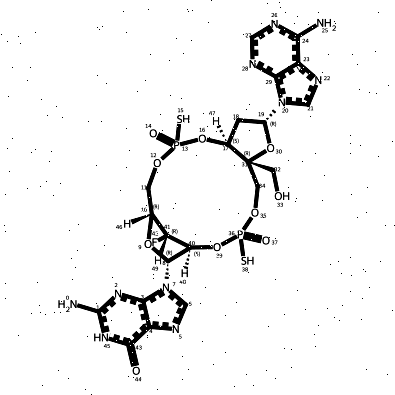 Nc1nc2c(ncn2[C@@H]2O[C@@H]3COP(=O)(S)O[C@H]4C[C@H](n5cnc6c(N)ncnc65)O[C@]4(CO)COP(=O)(S)O[C@@H]2[C@@H]3F)c(=O)[nH]1